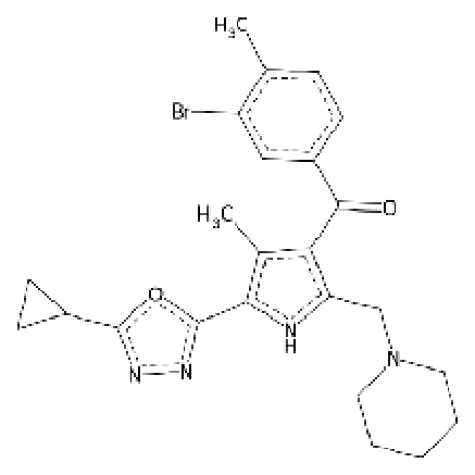 Cc1ccc(C(=O)c2c(CN3CCCCC3)[nH]c(-c3nnc(C4CC4)o3)c2C)cc1Br